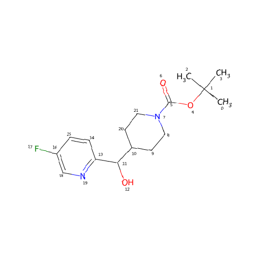 CC(C)(C)OC(=O)N1CCC(C(O)c2ccc(F)cn2)CC1